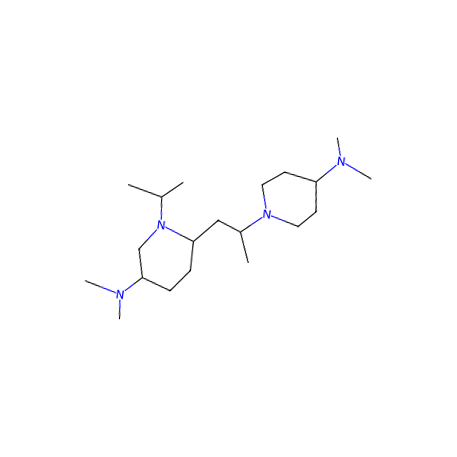 CC(CC1CCC(N(C)C)CN1C(C)C)N1CCC(N(C)C)CC1